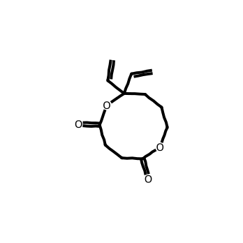 C=CC1(C=C)CCCOC(=O)CCC(=O)O1